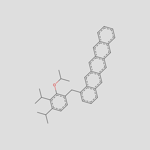 CC(C)Oc1c(Cc2cccc3cc4cc5cc6ccccc6cc5cc4cc23)ccc(C(C)C)c1C(C)C